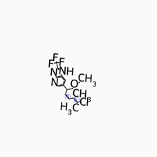 CCOC(C)C(/C=C\C=C(/C)Cl)c1cnc2nc(C(F)(F)F)[nH]c2c1